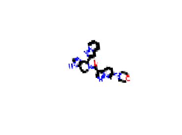 O=C(c1cnn2cc(N3CCOCC3)ccc12)N1CCc2[nH]cnc2C1c1cc2ccccn2n1